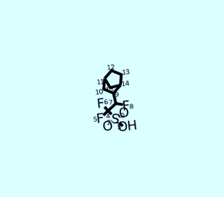 O=S(=O)(O)C(F)(F)C(F)C1CC2CCC1C2